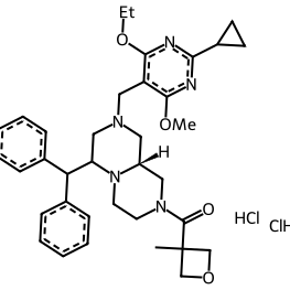 CCOc1nc(C2CC2)nc(OC)c1CN1CC(C(c2ccccc2)c2ccccc2)N2CCN(C(=O)C3(C)COC3)C[C@H]2C1.Cl.Cl